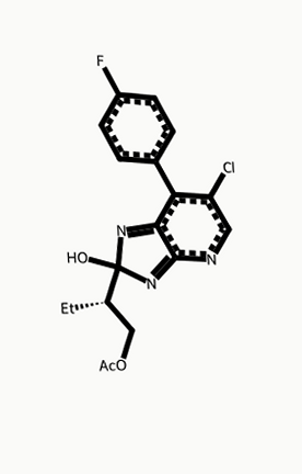 CC[C@@H](COC(C)=O)C1(O)N=c2ncc(Cl)c(-c3ccc(F)cc3)c2=N1